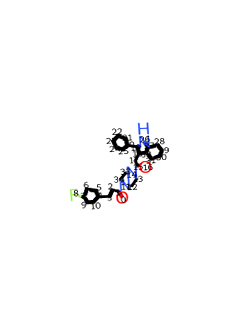 O=C(/C=C/c1ccc(F)cc1)N1CCN(C(=O)Cc2c(-c3ccccc3)[nH]c3ccccc23)CC1